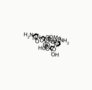 COP(=O)(O)OC1C[C@H](n2ccc(N)nc2=O)O[C@@H]1COP(=O)(O)OC1C[C@H](n2ccc(N)nc2=O)O[C@@H]1CO